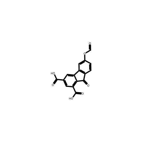 O=COc1ccc2c(c1)-c1cc(C(=O)O)cc(C(=O)O)c1C2=O